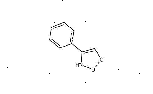 C1=C(c2ccccc2)NOO1